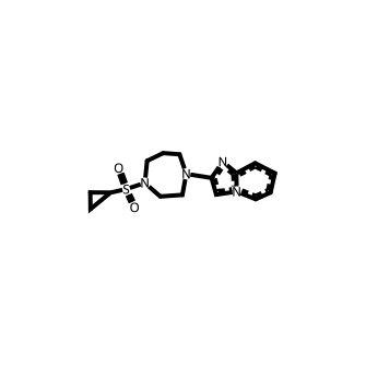 O=S(=O)(C1CC1)N1CCCN(c2cn3ccccc3n2)CC1